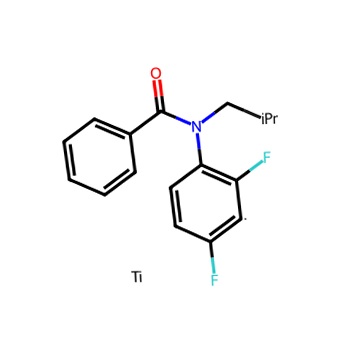 CC(C)CN(C(=O)c1ccccc1)c1ccc(F)[c]c1F.[Ti]